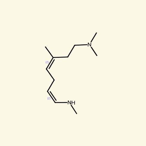 CN/C=C\C/C=C(/C)CCN(C)C